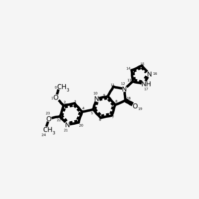 COc1cc(-c2ccc3c(n2)CN(c2ccn[nH]2)C3=O)cnc1OC